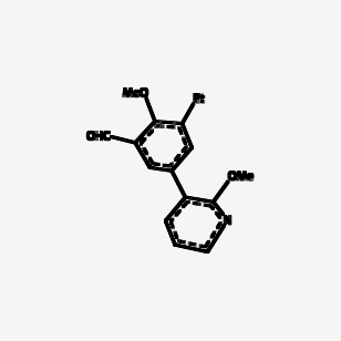 CCc1cc(-c2cccnc2OC)cc(C=O)c1OC